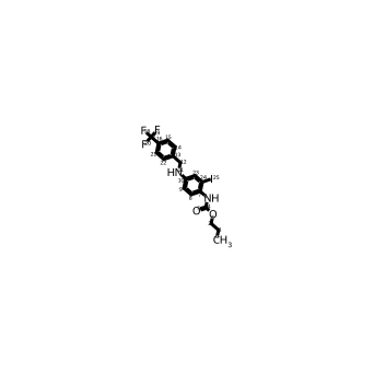 CCCOC(=O)Nc1ccc(NCc2ccc(C(F)(F)F)cc2)cc1I